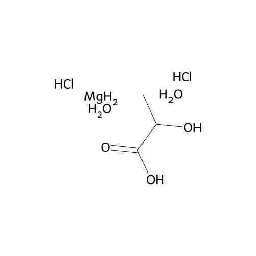 CC(O)C(=O)O.Cl.Cl.O.O.[MgH2]